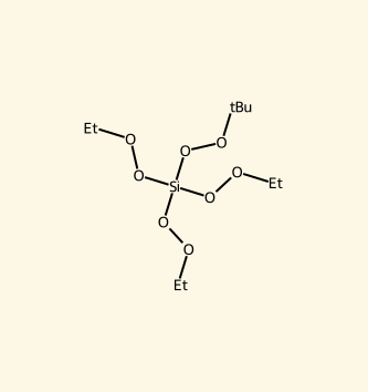 CCOO[Si](OOCC)(OOCC)OOC(C)(C)C